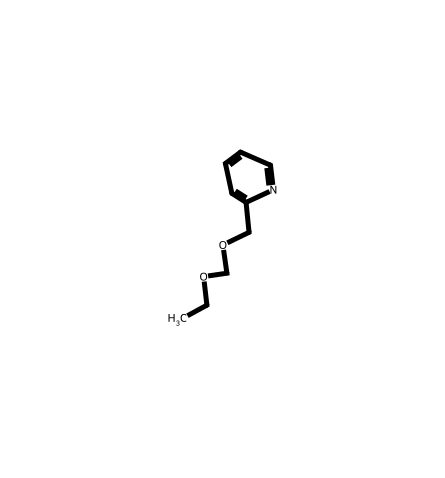 CCOCOCc1ccccn1